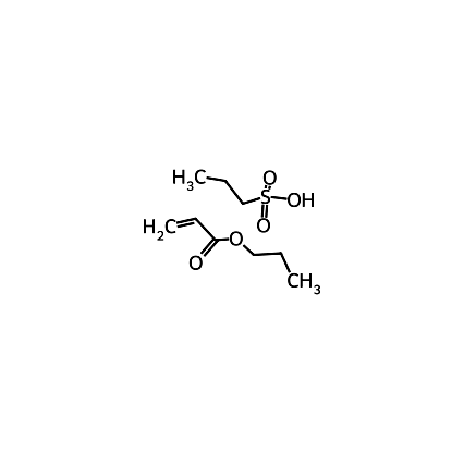 C=CC(=O)OCCC.CCCS(=O)(=O)O